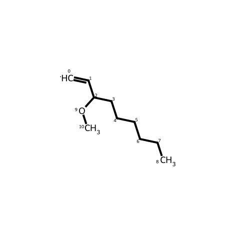 [CH]=CC(CCCCCC)OC